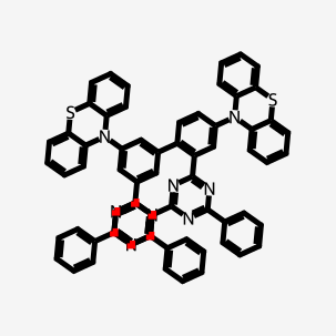 c1ccc(-c2nc(-c3ccccc3)nc(-c3cc(-c4ccc(N5c6ccccc6Sc6ccccc65)cc4-c4nc(-c5ccccc5)nc(-c5ccccc5)n4)cc(N4c5ccccc5Sc5ccccc54)c3)n2)cc1